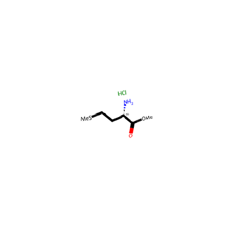 COC(=O)[C@@H](N)CCSC.Cl